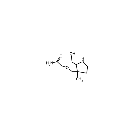 CC1(COCC(N)=O)CCNC1CO